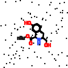 CCCCOC(=O)C1NC(CO)Cc2ccc(O)cc21